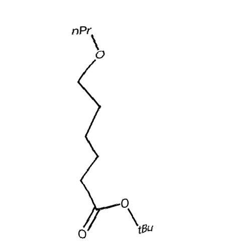 CCCOCCCCCC(=O)OC(C)(C)C